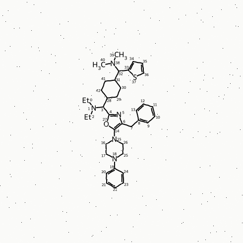 CCN(CC)C(c1nc(Cc2ccccc2)c(N2CCN(c3ccccc3)CC2)o1)C1CCC(C(c2cccs2)N(C)C)CC1